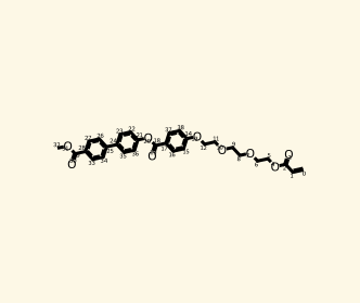 C=CC(=O)OCCOCCOCCOc1ccc(C(=O)Oc2ccc(-c3ccc(C(=O)OC)cc3)cc2)cc1